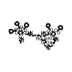 CC(=O)O[C@H]1[C@H](OC(C)=O)C(O)O[C@@H]1Cn1cc(COCc2cn([C@@H]3C[C@H](OC(=O)c4ccccc4)[C@H](OC(=O)c4ccccc4)[C@@H](OCc4cn(CCOCCn5cc(CO[C@H]6O[C@H](Cn7cc(C)nn7)[C@@H](OC(=O)c7ccccc7)[C@H](OC(=O)c7ccccc7)[C@@H]6OC(=O)c6ccccc6)nn5)nn4)O3)nn2)nn1